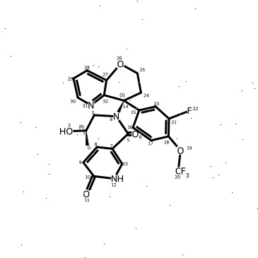 C[C@@H](O)CN(C(=O)c1ccc(=O)[nH]c1)[C@]1(c2ccc(OC(F)(F)F)c(F)c2)CCOc2cccnc21